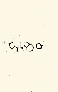 COc1ccc([C@@H]2CCO[C@@H]3[C@H](CN[C@@H]3C(=O)N[C@@H](C3OC(SC)C(O)C(O)C3O)[C@H](C)Cl)C2)cc1